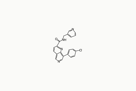 O=C(NCc1cccnc1)c1ccc2cncc(-c3ccc(Cl)cc3)c2n1